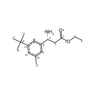 CCOC(=O)C[C@@H](N)c1cc(C)cc(C(C)(C)C)c1